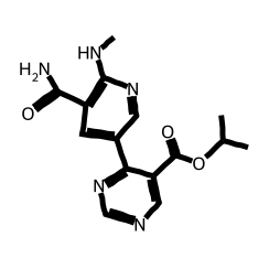 CNc1ncc(-c2ncncc2C(=O)OC(C)C)cc1C(N)=O